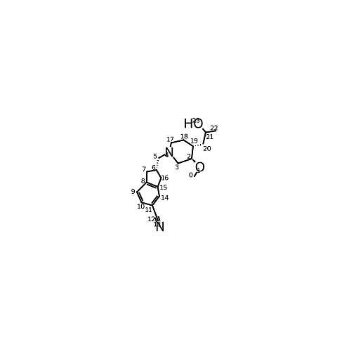 CO[C@H]1CN(C[C@H]2Cc3ccc(C#N)cc3C2)CC[C@@H]1CC(C)O